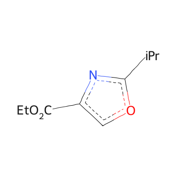 CCOC(=O)c1coc(C(C)C)n1